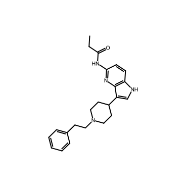 CCC(=O)Nc1ccc2[nH]cc(C3CCN(CCc4ccccc4)CC3)c2n1